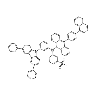 CS(=O)(=O)c1cccc(N(c2cccc(-n3c4ccc(-c5ccccc5)cc4c4cc(-c5ccccc5)ccc43)c2)c2c3ccccc3c(-c3ccc(-c4cccc5ccccc45)cc3)c3ccccc23)c1